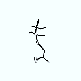 CC(N)CO[Si](C)(C)C(C)(C)C